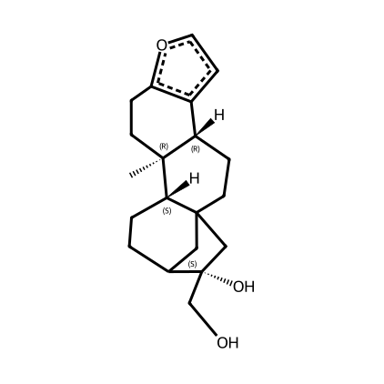 C[C@]12CCc3occc3[C@@H]1CCC13CC(CC[C@@H]12)[C@](O)(CO)C3